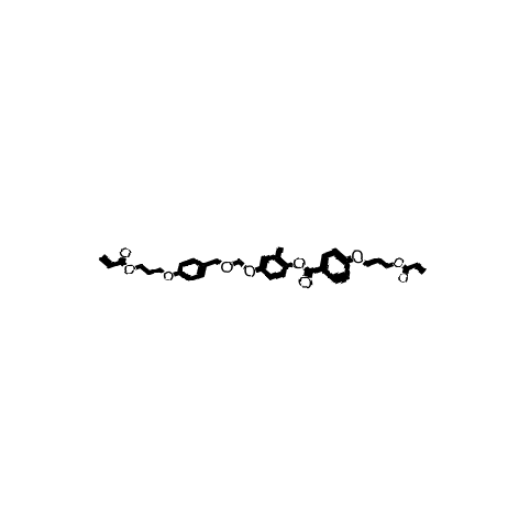 C=CC(=O)OCCCOc1ccc(COCOc2ccc(OC(=O)c3ccc(OCCCOC(=O)C=C)cc3)c(C)c2)cc1